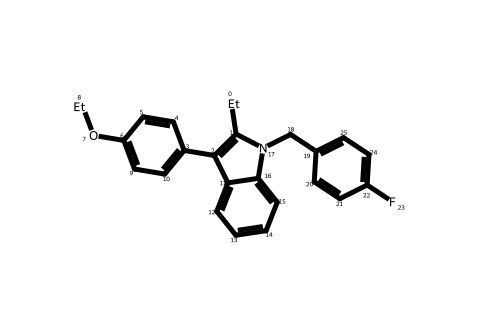 [CH2]Cc1c(-c2ccc(OCC)cc2)c2ccccc2n1Cc1ccc(F)cc1